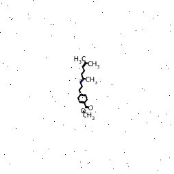 COC(=O)C1=CCC(CC/C=C(\C)CCC=C(C)C)=CC1